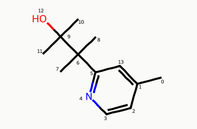 Cc1ccnc(C(C)(C)C(C)(C)O)c1